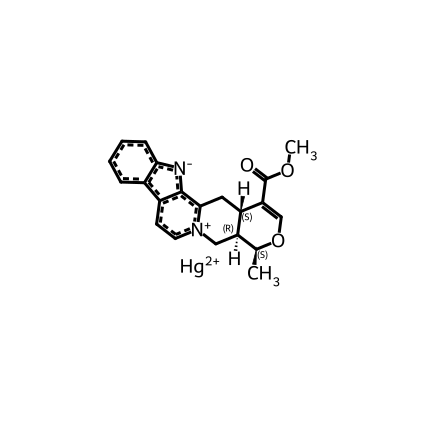 COC(=O)C1=CO[C@@H](C)[C@H]2C[n+]3ccc4c([n-]c5ccccc54)c3C[C@H]12.[Hg+2]